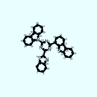 c1ccc2sc(-c3nc(-c4cccc5c4sc4ccccc45)nc(-n4c5ccccc5c5ccccc54)n3)nc2c1